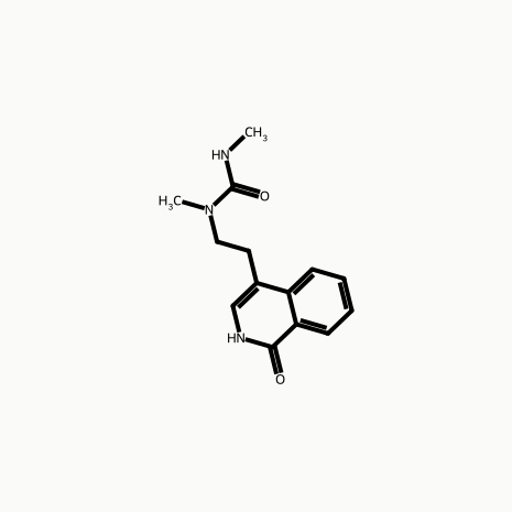 CNC(=O)N(C)CCc1c[nH]c(=O)c2ccccc12